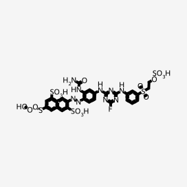 NC(=O)Nc1cc(Nc2nc(F)nc(Nc3cccc(S(=O)(=O)CCOS(=O)(=O)O)c3)n2)ccc1N=Nc1cc2c(S(=O)(=O)O)cc(SOOO)cc2cc1S(=O)(=O)O